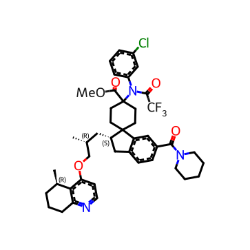 COC(=O)C1(N(C(=O)C(F)(F)F)c2cccc(Cl)c2)CCC2(CC1)c1cc(C(=O)N3CCCCC3)ccc1C[C@@H]2C[C@@H](C)COc1ccnc2c1[C@H](C)CCC2